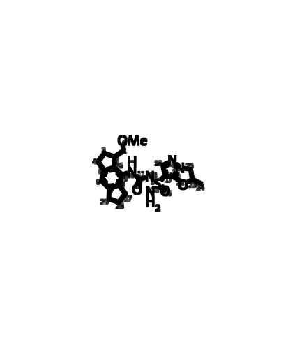 COCC1CCc2cc3c(c(NC(=O)N=S(N)(=O)c4cnn5c4OC(C)C5)c21)CCC3